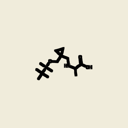 CC(NCC1(CO[Si](C)(C)C(C)(C)C)CC1)C(=O)O